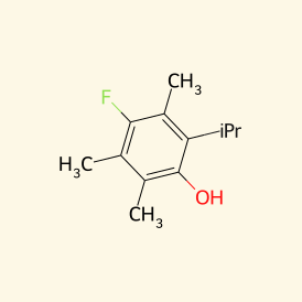 Cc1c(C)c(F)c(C)c(C(C)C)c1O